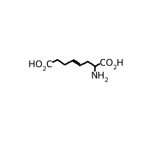 NC(C/C=C/CCC(=O)O)C(=O)O